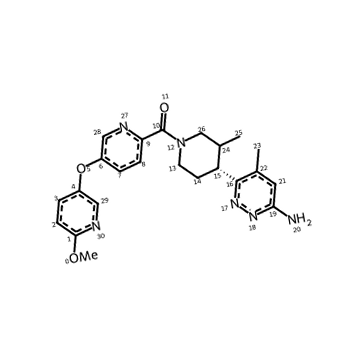 COc1ccc(Oc2ccc(C(=O)N3CC[C@@H](c4nnc(N)cc4C)C(C)C3)nc2)cn1